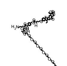 CCc1c2c(nc3ccc(OCCCNC(=O)OCc4ccc(NC(=O)[C@H](CCCCN)NC(=O)[C@@H](NC(=O)CCOCCOCCOCCOCCOCCOCCOCCOCCOCCC(C)C)C(C)C)cc4)cc13)-c1cc3c(c(=O)n1C2)COC(=O)[C@]3(O)CC